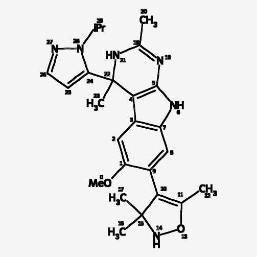 COc1cc2c3c([nH]c2cc1C1=C(C)ONC1(C)C)N=C(C)NC3(C)c1ccnn1C(C)C